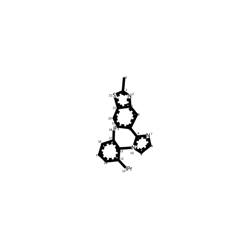 Cc1nc2cc(-c3nccn3-c3c(C(C)C)cccc3C(C)C)ccc2s1